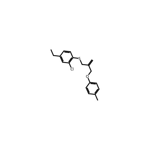 C=C(COc1ccc(C)cc1)CSc1ccc(CC)cc1Cl